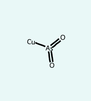 O=[As](=O)[Cu]